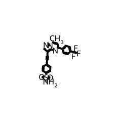 Cc1cc(-c2ccc(C(F)(F)F)cc2)nc2c(C#Cc3ccc(S(N)(=O)=O)cc3)cnn12